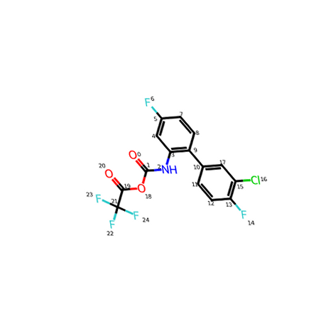 O=C(Nc1cc(F)ccc1-c1ccc(F)c(Cl)c1)OC(=O)C(F)(F)F